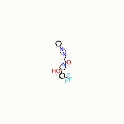 O=C(CCN1CCN(c2ccccc2)CC1)N1CCC(O)(c2cccc(C(F)(F)F)c2)CC1